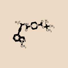 CC(C#Cc1cccc2c1cnn2C)NC(=O)N1CCN(C(=O)OC(C)(C)C)CC1